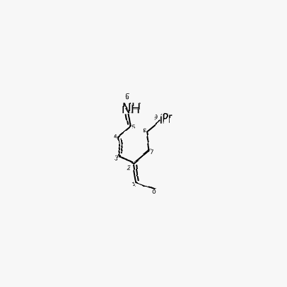 C/C=C(/C=C\C=N)CCC(C)C